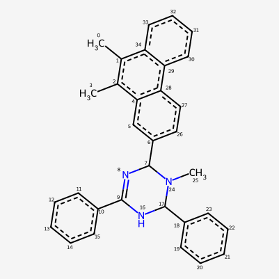 Cc1c(C)c2cc(C3N=C(c4ccccc4)NC(c4ccccc4)N3C)ccc2c2ccccc12